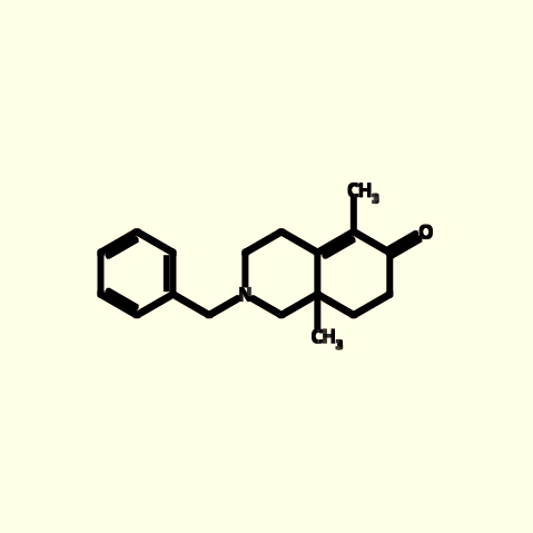 CC1=C2CCN(Cc3ccccc3)CC2(C)CCC1=O